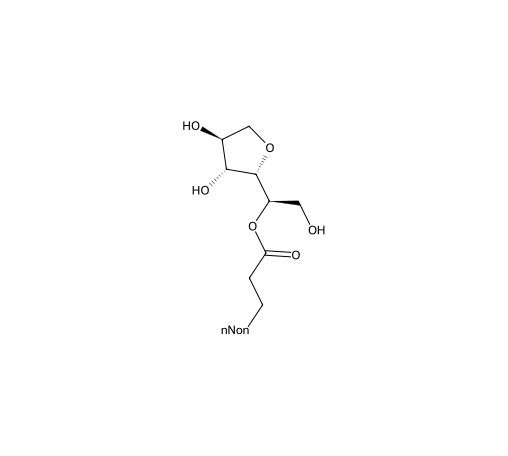 CCCCCCCCCCCC(=O)O[C@H](CO)[C@H]1OC[C@H](O)[C@H]1O